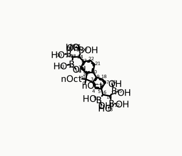 CCCCCCCCC1(CCCCCCCC)c2cc(C(B(O)O)C(B(O)O)B(O)O)ccc2-c2ccc(C(B(O)O)C(B(O)O)B(O)O)cc21